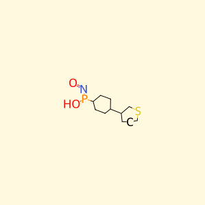 O=NP(O)C1CCC(C2CCCSC2)CC1